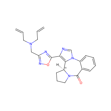 C=CCN(CC=C)Cc1noc(-c2ncn3c2[C@@H]2CCCN2C(=O)c2ccccc2-3)n1